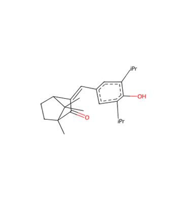 CC(C)c1cc(C=C2C(=O)C3(C)CCC2C3(C)C)cc(C(C)C)c1O